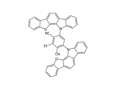 CCc1c(C#N)c(-n2c3ccccc3c3ccc4c5ccccc5oc4c32)cc(-n2c3ccccc3c3ccc4c5ccccc5oc4c32)c1C#N